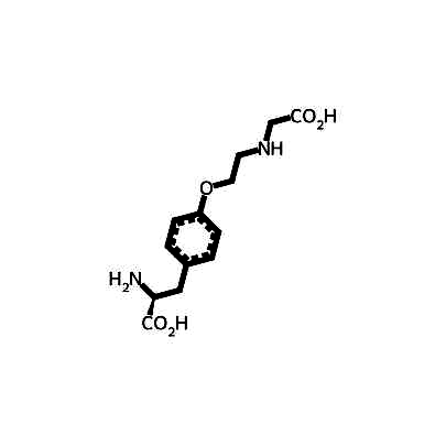 N[C@@H](Cc1ccc(OCCNCC(=O)O)cc1)C(=O)O